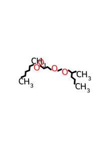 CCCCCCC(C)OC(=O)CCCOCCOCC(CC)CCCC